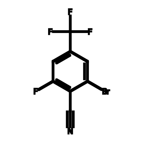 N#Cc1c(F)cc(C(F)(F)F)cc1Br